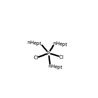 CCCCCCCP(Cl)(Cl)(CCCCCCC)CCCCCCC